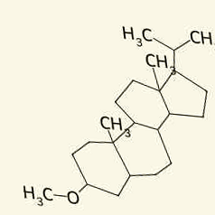 COC1CCC2(C)C(CCC3C2CCC2(C)C(C(C)C)CCC32)C1